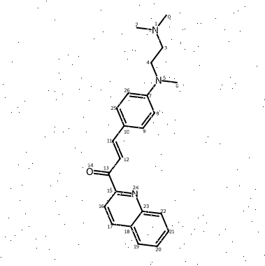 CN(C)CCN(C)c1ccc(C=CC(=O)c2ccc3ccccc3n2)cc1